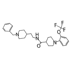 O=C(NCCC1CCN(Cc2ccccc2)CC1)C1CCN(c2ccccc2OC(F)(F)F)CC1